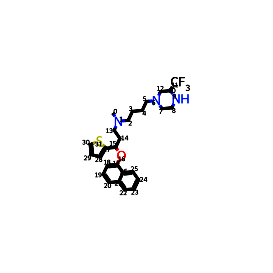 CN(CCCCN1CCNC(C(F)(F)F)C1)CCC(Oc1cccc2ccccc12)c1cccs1